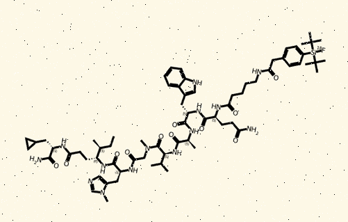 CC[C@H](C)[C@@H](CCC(=O)N[C@@H](CC1CC1)C(N)=O)NC(=O)[C@H](Cc1cncn1C)NC(=O)CN(C)C(=O)[C@@H](NC(=O)[C@H](C)NC(=O)[C@H](Cc1c[nH]c2ccccc12)NC(=O)[C@H](CCC(N)=O)NC(=O)CCCCNC(=O)Cc1ccc([Si]([18F])(C(C)(C)C)C(C)(C)C)cc1)C(C)C